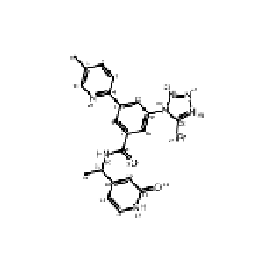 Cc1ccc(-c2cc(C(=O)NC(C)c3cc[nH]c(=O)c3)cc(-n3nnnc3C(C)C)c2)nc1